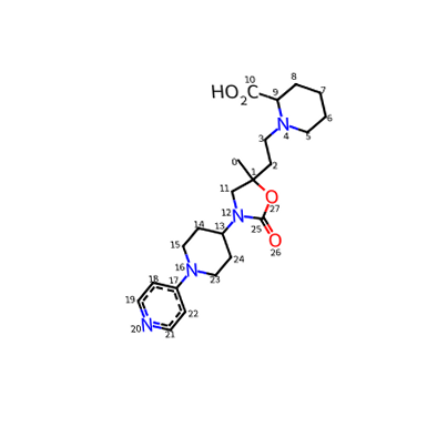 CC1(CCN2CCCCC2C(=O)O)CN(C2CCN(c3ccncc3)CC2)C(=O)O1